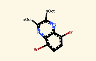 CCCCCCCCc1nc2c(Br)ccc(Br)c2nc1CCCCCCCC